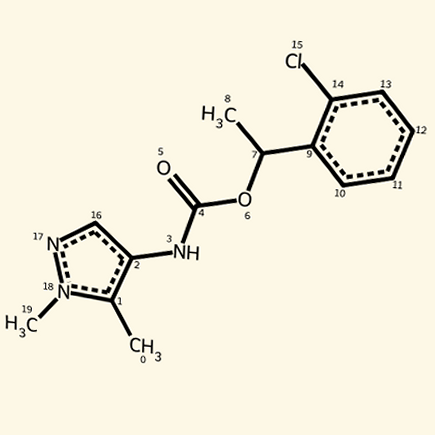 Cc1c(NC(=O)OC(C)c2ccccc2Cl)cnn1C